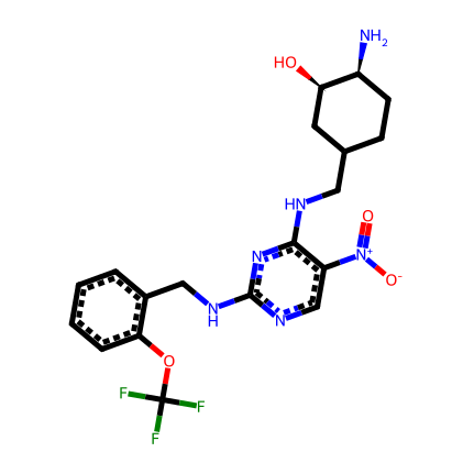 N[C@H]1CCC(CNc2nc(NCc3ccccc3OC(F)(F)F)ncc2[N+](=O)[O-])C[C@H]1O